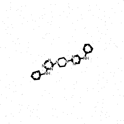 c1ccc(Nc2cnc(N3CCN(c4ncnc(Nc5ccccc5)n4)CC3)nc2)cc1